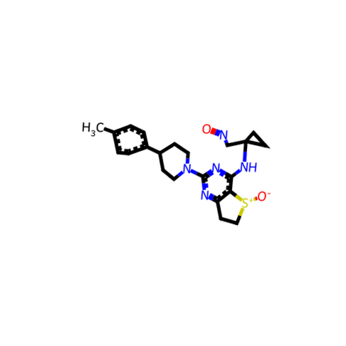 Cc1ccc(C2CCN(c3nc4c(c(NC5(CN=O)CC5)n3)[S+]([O-])CC4)CC2)cc1